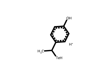 CC([TeH])c1ccc(O)cc1.[H+]